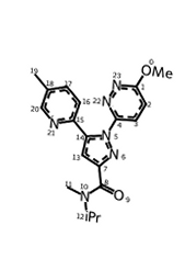 COc1ccc(-n2nc(C(=O)N(C)C(C)C)cc2-c2ccc(C)cn2)nn1